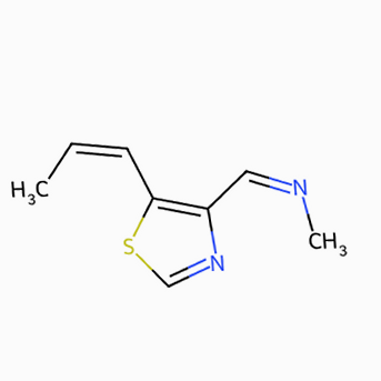 C/C=C\c1scnc1/C=N\C